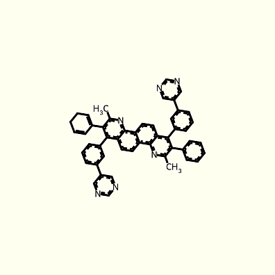 Cc1nc2c(ccc3c2ccc2c(-c4cccc(-c5cncnc5)c4)c(-c4ccccc4)c(C)nc23)c(-c2cccc(-c3cncnc3)c2)c1C1=CCCC=C1